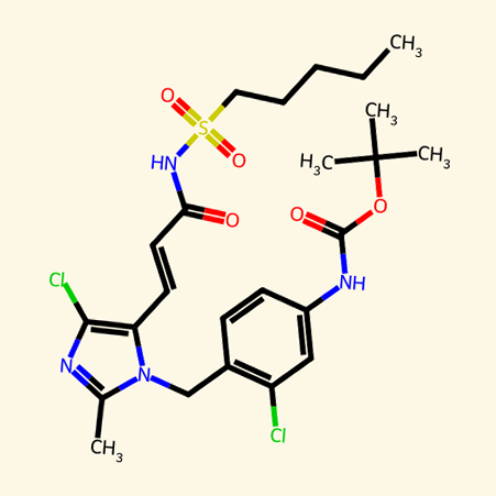 CCCCCS(=O)(=O)NC(=O)C=Cc1c(Cl)nc(C)n1Cc1ccc(NC(=O)OC(C)(C)C)cc1Cl